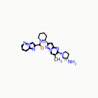 Cc1cn2nc([C@@H]3CCCCN3C(=O)c3cn4ncccc4n3)cc2nc1N1CC[C@H](N)C1